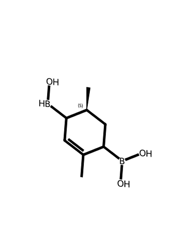 CC1=CC(BO)[C@@H](C)CC1B(O)O